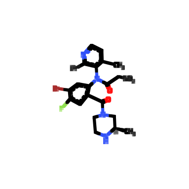 Cc1ccnc(C(C)C)c1N(C(=O)C[N+](=O)[O-])c1cc(Br)c(F)cc1C(=O)N1CCN[C@H](C)C1